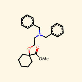 COC(=O)C1(OCCN(Cc2ccccc2)Cc2ccccc2)CCCCC1